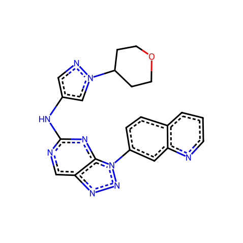 c1cnc2cc(-n3nnc4cnc(Nc5cnn(C6CCOCC6)c5)nc43)ccc2c1